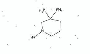 BC1(P)CCCN(C(C)C)C1